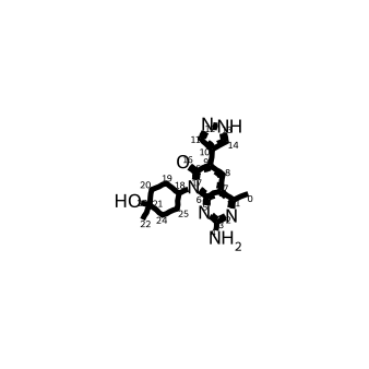 Cc1nc(N)nc2c1cc(-c1cn[nH]c1)c(=O)n2C1CCC(C)(O)CC1